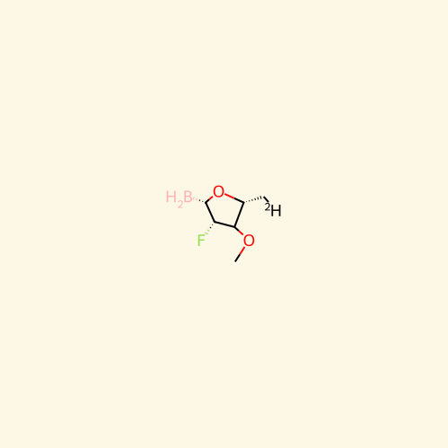 [2H]C[C@H]1O[C@@H](B)[C@@H](F)C1OC